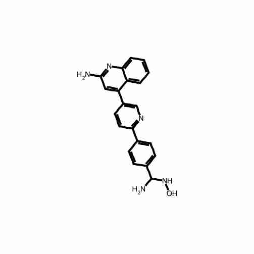 Nc1cc(-c2ccc(-c3ccc(C(N)NO)cc3)nc2)c2ccccc2n1